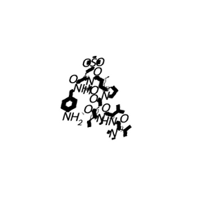 CC[C@@H]([C@@H](CC(=O)N1CCC[C@H]1[C@H](OC)[C@@H](C)C(=O)N[C@@H](CCS(C)(=O)=O)C(=O)NCc1ccc(N)cc1)OC)N(C)C(=O)[C@@H](NC(=O)[C@H](C(C)C)N(C)C)C(C)C